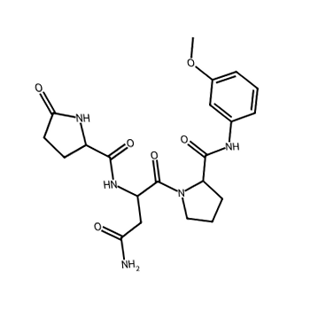 COc1cccc(NC(=O)C2CCCN2C(=O)C(CC(N)=O)NC(=O)C2CCC(=O)N2)c1